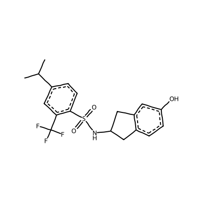 CC(C)c1ccc(S(=O)(=O)NC2Cc3ccc(O)cc3C2)c(C(F)(F)F)c1